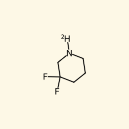 [2H]N1CCCC(F)(F)C1